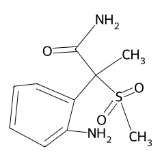 CC(C(N)=O)(c1ccccc1N)S(C)(=O)=O